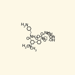 COc1c(CN2O[C@@H](CO)[C@@H]([C@H](C)O)[C@H]2C(N)=O)cccc1-c1cc(C(=O)NCCc2ccc(N)cc2)cc(N(C)C)c1